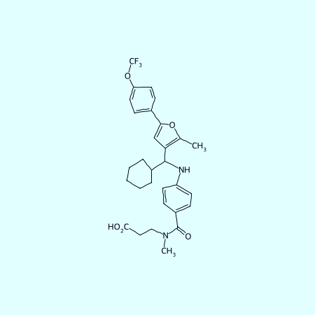 Cc1oc(-c2ccc(OC(F)(F)F)cc2)cc1C(Nc1ccc(C(=O)N(C)CCC(=O)O)cc1)C1CCCCC1